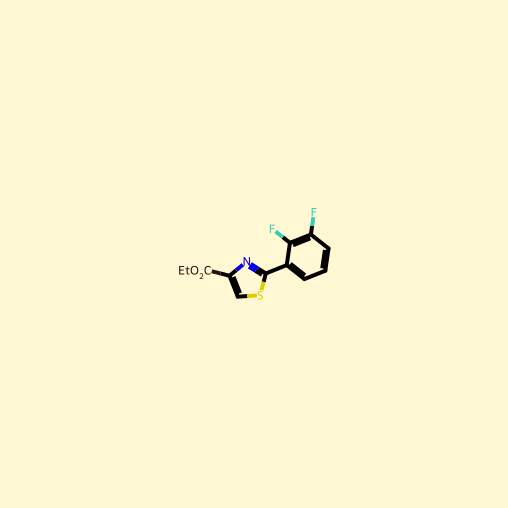 CCOC(=O)c1csc(-c2cccc(F)c2F)n1